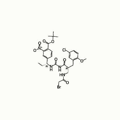 CC[C@@H](NC(=O)NC(=O)[C@@H](CNC(=O)CBr)Cc1cc(Cl)ccc1OC)c1ccc(C(=O)OC(C)(C)C)c([N+](=O)[O-])c1